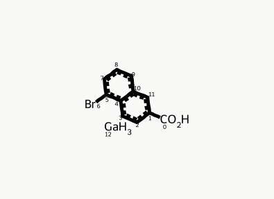 O=C(O)c1ccc2c(Br)cccc2c1.[GaH3]